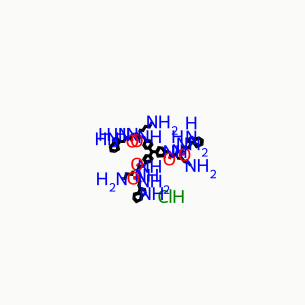 Cl.NCCCC[C@@H](NC(=O)[C@H](N)Cc1c[nH]c2ccccc12)C(=O)Nc1ccc(C(c2ccc(NC(=O)[C@@H](CCCCN)NC(=O)[C@H](N)Cc3c[nH]c4ccccc34)cc2)c2ccc(NC(=O)[C@@H](CCCCN)NC(=O)[C@H](N)Cc3c[nH]c4ccccc34)cc2)cc1